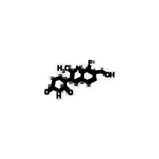 Cc1nc2c(F)c(CO)ccc2cc1C1CCC(=O)NC1=O